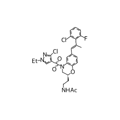 CCn1cc(S(=O)(=O)N2C[C@H](CCNC(C)=O)Oc3ccc(/C=C(\C)c4c(F)cccc4Cl)cc32)c(Cl)n1